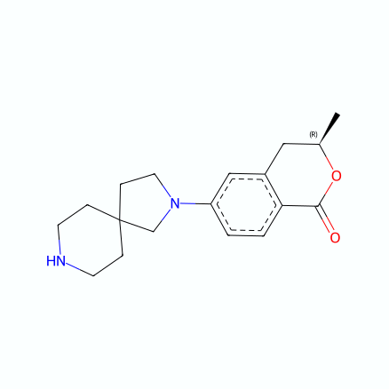 C[C@@H]1Cc2cc(N3CCC4(CCNCC4)C3)ccc2C(=O)O1